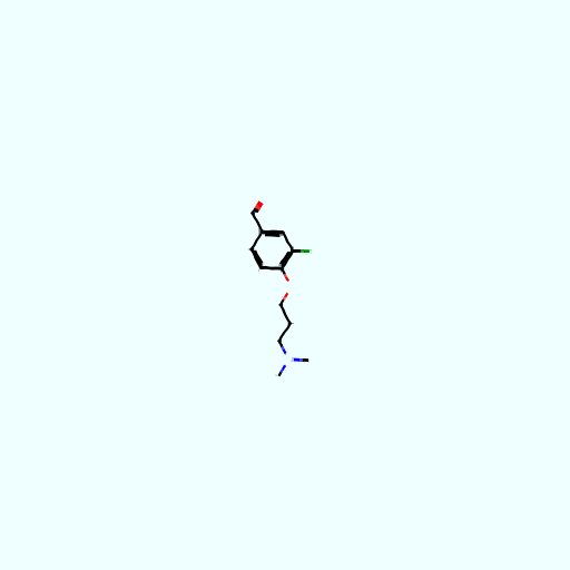 CN(C)CCCOc1ccc(C=O)cc1F